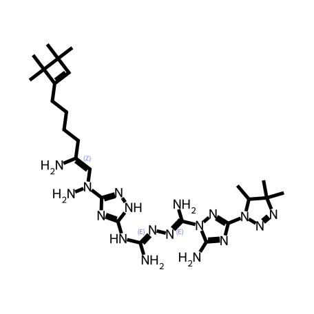 CC1N(c2nc(N)n(/C(N)=N/N=C(\N)Nc3nc(N(N)/C=C(\N)CCCCC4=CC(C)(C)C4(C)C)n[nH]3)n2)N=NC1(C)C